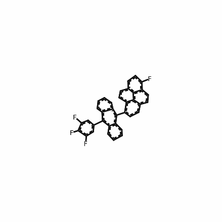 Fc1cc(-c2c3ccccc3c(-c3ccc4ccc5c(F)ccc6ccc3c4c65)c3ccccc23)cc(F)c1F